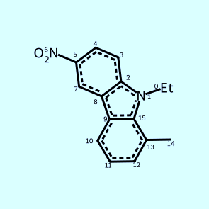 CCn1c2ccc([N+](=O)[O-])cc2c2cccc(C)c21